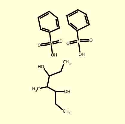 CCC(O)C(C)C(O)CC.O=S(=O)(O)c1ccccc1.O=S(=O)(O)c1ccccc1